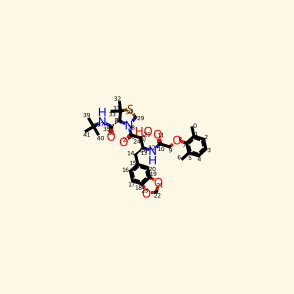 Cc1cccc(C)c1OCC(=O)N[C@@H](Cc1ccc2c(c1)OCO2)[C@H](O)C(=O)N1CSC(C)(C)[C@H]1C(=O)NC(C)(C)C